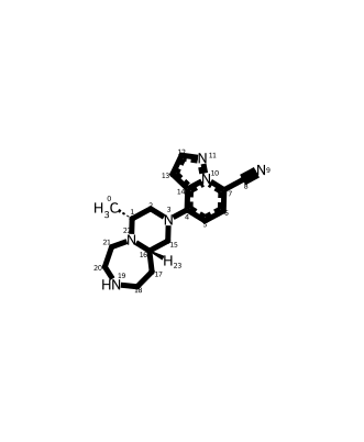 C[C@@H]1CN(c2ccc(C#N)n3nccc23)C[C@@H]2CCNCCN21